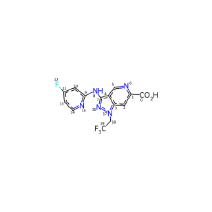 O=C(O)c1cc2c(cn1)c(Nc1cc(F)ccn1)nn2CC(F)(F)F